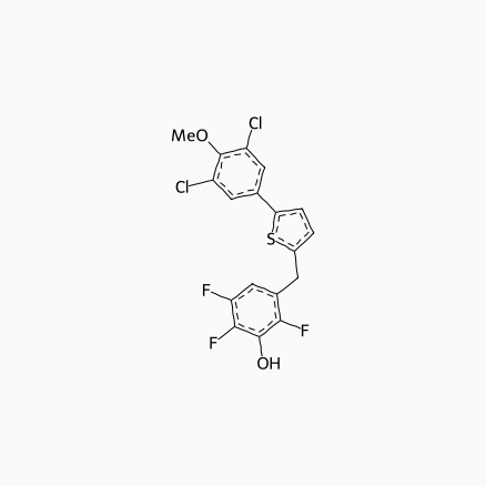 COc1c(Cl)cc(-c2ccc(Cc3cc(F)c(F)c(O)c3F)s2)cc1Cl